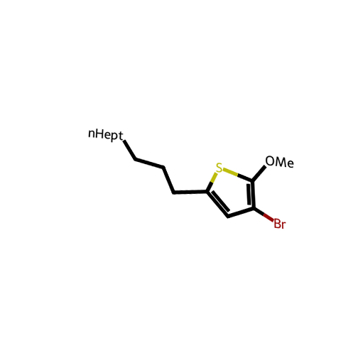 CCCCCCCCCCc1cc(Br)c(OC)s1